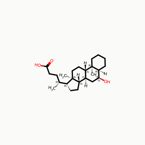 C[C@H](CCC(=O)O)[C@H]1CC[C@H]2[C@@H]3C[C@H](O)[C@@H]4CCCC[C@]4(C)[C@H]3CC[C@]12C